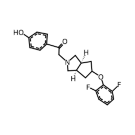 O=C(CN1C[C@H]2CC(Oc3c(F)cccc3F)C[C@H]2C1)c1ccc(O)cc1